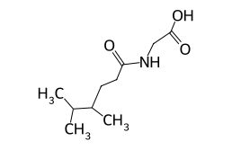 CC(C)C(C)CCC(=O)NCC(=O)O